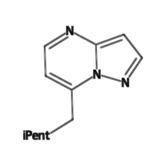 CCCC(C)Cc1ccnc2ccnn12